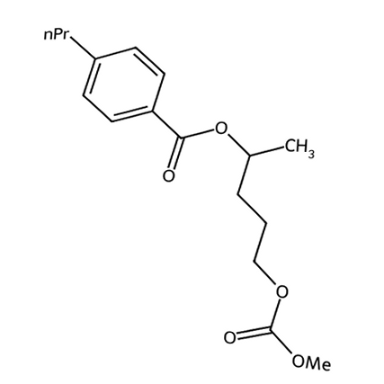 CCCc1ccc(C(=O)OC(C)CCCOC(=O)OC)cc1